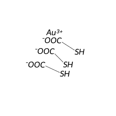 O=C([O-])S.O=C([O-])S.O=C([O-])S.[Au+3]